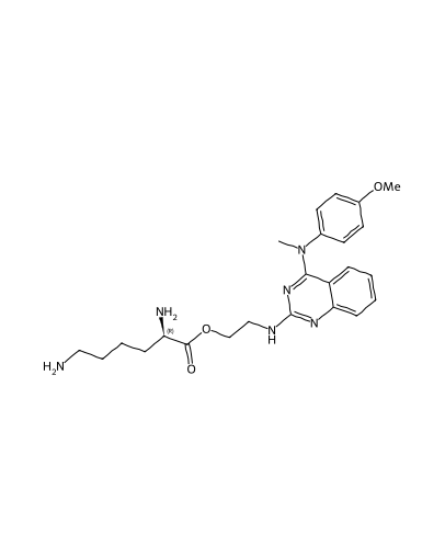 COc1ccc(N(C)c2nc(NCCOC(=O)[C@H](N)CCCCN)nc3ccccc23)cc1